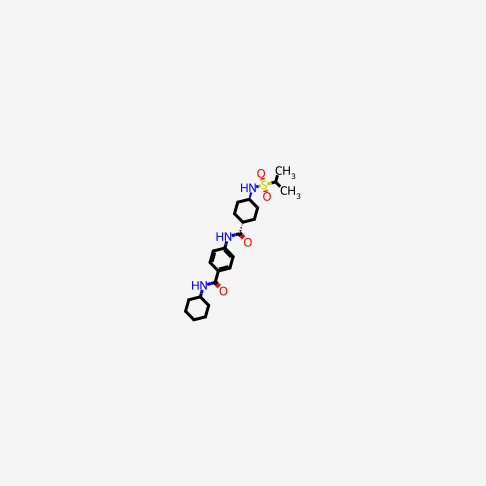 CC(C)S(=O)(=O)N[C@H]1CC[C@H](C(=O)Nc2ccc(C(=O)NC3CCCCC3)cc2)CC1